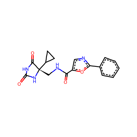 O=C1NC(=O)[C@](CNC(=O)c2cnc(-c3ccccc3)o2)(C2CC2)N1